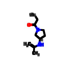 C=C(C)N[C@@H]1CCN(C(=O)CC(C)(C)C)C1